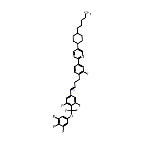 CCCCCC1CCC(c2cnc(-c3ccc(CC/C=C/c4cc(F)c(C(F)(F)Oc5cc(F)c(F)c(F)c5)c(F)c4)c(F)c3)nc2)CC1